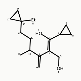 C=C(/C(CO)=C(\O)C1CC1)C(C)CCC1(CC)CC1